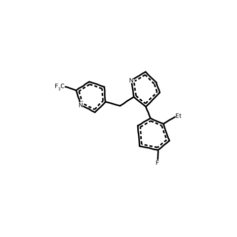 CCc1cc(F)ccc1-c1cccnc1Cc1ccc(C(F)(F)F)nc1